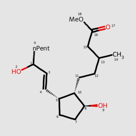 CCCCCC(O)C=C[C@H]1CC[C@H](O)[C@H]1CCC(C)CC(=O)OC